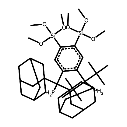 CO[Si](OC)(OC)c1cc(C(P)(C(C)(C)C)C(C)(C)C)c(C(P)(C23CC4CC(CC(C4)C2)C3)C23CC4CC(CC(C4)C2)C3)cc1[Si](OC)(OC)OC